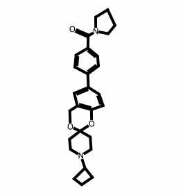 O=C(c1ccc(-c2ccc3c(c2)COC2(CCN(C4CCC4)CC2)O3)cc1)N1CCCC1